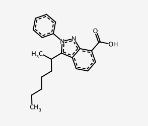 CCCCCC(C)c1c2cccc(C(=O)O)c2nn1-c1ccccc1